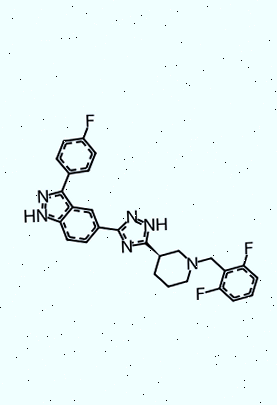 Fc1ccc(-c2n[nH]c3ccc(-c4n[nH]c([C@@H]5CCCN(Cc6c(F)cccc6F)C5)n4)cc23)cc1